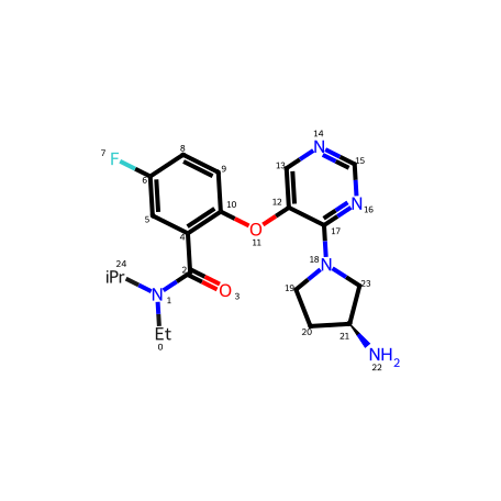 CCN(C(=O)c1cc(F)ccc1Oc1cncnc1N1CC[C@H](N)C1)C(C)C